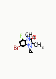 CC1C(=O)N(C)c2c(F)cc(Br)cc2N1C1CC1